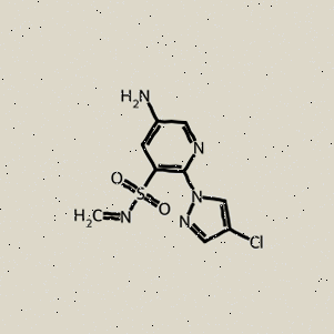 C=NS(=O)(=O)c1cc(N)cnc1-n1cc(Cl)cn1